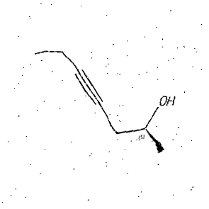 CCC#CC[C@H](C)O